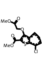 COC(=O)COc1c(C(=O)OC)sc2c(Cl)cccc12